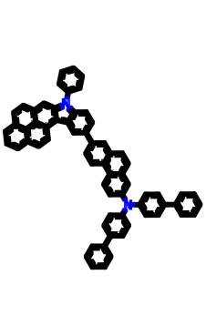 c1ccc(-c2ccc(N(c3ccc(-c4ccccc4)cc3)c3ccc4c(ccc5cc(-c6ccc7c(c6)c6c8ccc9cccc%10ccc(cc6n7-c6ccccc6)c8c%109)ccc54)c3)cc2)cc1